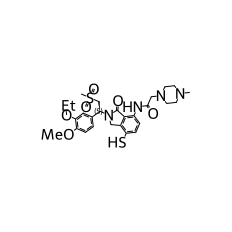 CCOc1cc([C@@H](CS(C)(=O)=O)N2Cc3c(S)ccc(NC(=O)CN4CCN(C)CC4)c3C2=O)ccc1OC